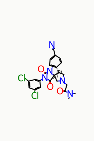 CN(C)C(=O)CN1C[C@@H](c2ccc(C#N)cc2)[C@]2(C1)C(=O)N(c1cc(Cl)cc(Cl)c1)C(=O)N2C